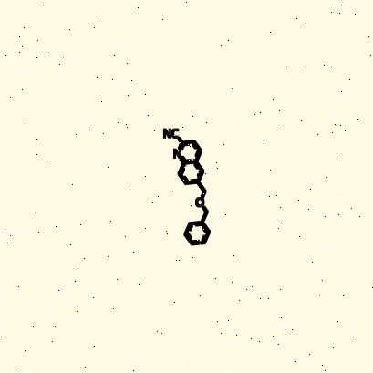 N#Cc1ccc2cc(COCc3ccccc3)ccc2n1